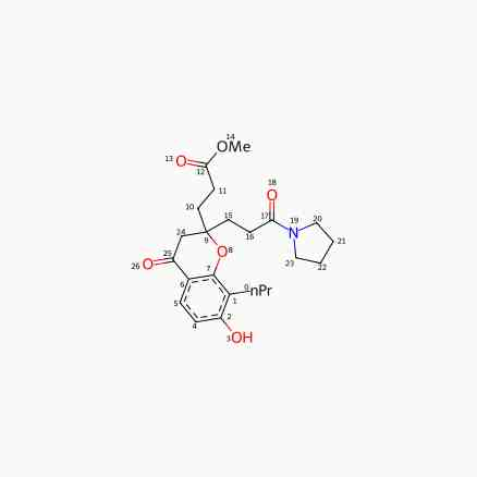 CCCc1c(O)ccc2c1OC(CCC(=O)OC)(CCC(=O)N1CCCC1)CC2=O